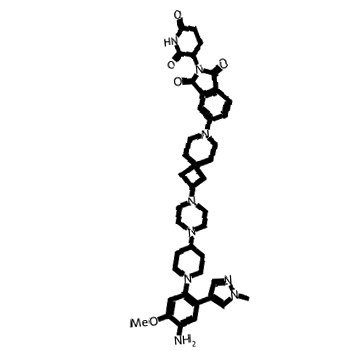 COc1cc(N2CCC(N3CCN(C4CC5(CCN(c6ccc7c(c6)C(=O)N(C6CCC(=O)NC6=O)C7=O)CC5)C4)CC3)CC2)c(-c2cnn(C)c2)cc1N